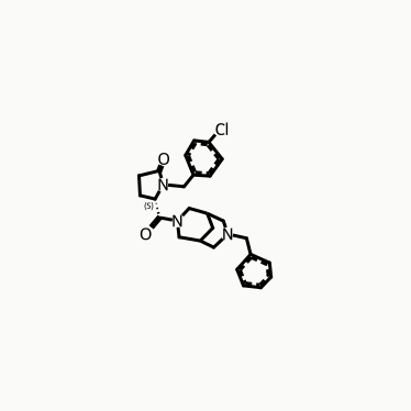 O=C([C@@H]1CCC(=O)N1Cc1ccc(Cl)cc1)N1CC2CC(CN(Cc3ccccc3)C2)C1